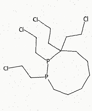 ClCCP1CCCCCCC(CCCl)(CCCl)P1CCCl